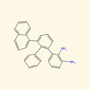 Nc1cccc(-c2cccc(-c3cccc4ccccc34)c2-c2ccccc2)c1N